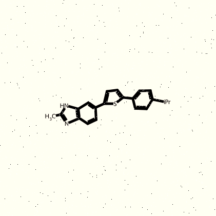 Cc1nc2ccc(-c3ccc(-c4ccc(C(C)C)cc4)s3)cc2[nH]1